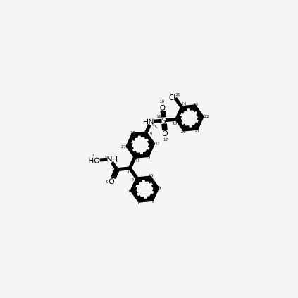 O=C(NO)C(c1ccccc1)c1ccc(NS(=O)(=O)c2ccccc2Cl)cc1